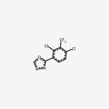 FC(F)(F)c1c(Cl)ccc(-c2nnco2)c1Cl